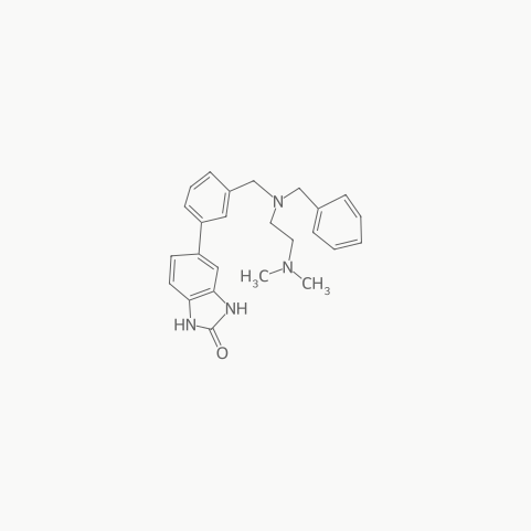 CN(C)CCN(Cc1ccccc1)Cc1cccc(-c2ccc3[nH]c(=O)[nH]c3c2)c1